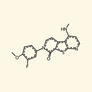 CNc1ccnc2sc3c(=O)n(-c4ccc(OC)c(F)c4)ccc3c12